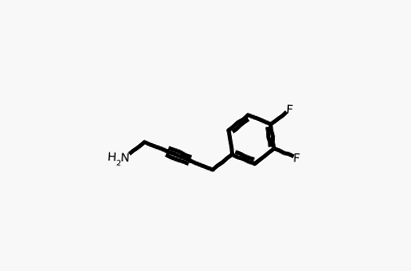 NCC#CCc1ccc(F)c(F)c1